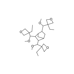 CCC1(C(OC)C2CC3CC2C(C(OC)C2(CC)COC2)C3C(OC)C2(CC)COC2)COC1